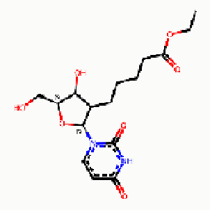 CCOC(=O)CCCCC1C(O)[C@H](CO)O[C@@H]1n1ccc(=O)[nH]c1=O